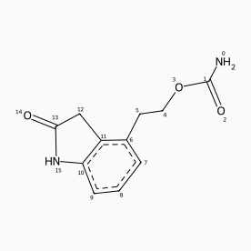 NC(=O)OCCc1cccc2c1CC(=O)N2